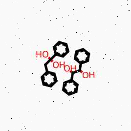 OC(O)(Cc1ccccc1)c1ccccc1.OC(c1ccccc1)C(O)c1ccccc1